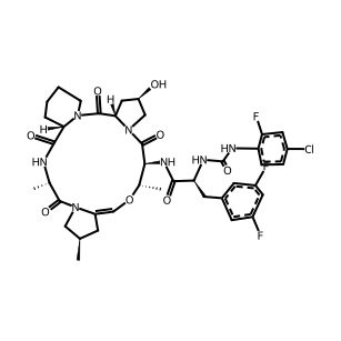 C[C@@H]1C/C2=C/O[C@@H](C)[C@H](NC(=O)[C@H](Cc3cc(F)cc(F)c3)NC(=O)Nc3ccc(Cl)cc3F)C(=O)N3C[C@H](O)C[C@H]3C(=O)N3CCCC[C@H]3C(=O)N[C@@H](C)C(=O)N2C1